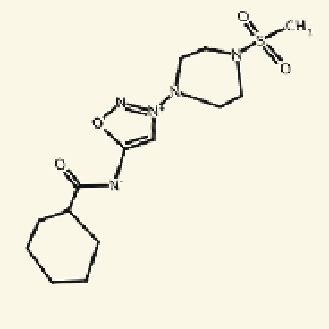 CS(=O)(=O)N1CCN([n+]2cc([N-]C(=O)C3CCCCC3)on2)CC1